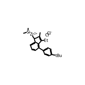 CCC1=C(C)[CH]([Zr+2][Si](C)C)c2cccc(-c3ccc(C(C)(C)C)cc3)c21.[Cl-].[Cl-]